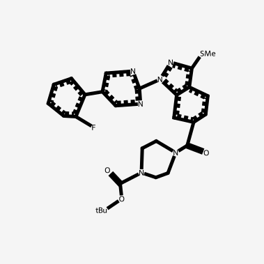 CSc1nn(-c2ncc(-c3ccccc3F)cn2)c2cc(C(=O)N3CCN(C(=O)OC(C)(C)C)CC3)ccc12